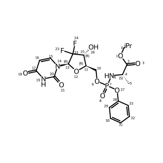 CC(C)OC(=O)[C@H](C)NP(=O)(OC[C@H]1O[C@@H](n2ccc(=O)[nH]c2=O)C(F)(F)[C@@H]1O)Oc1ccccc1